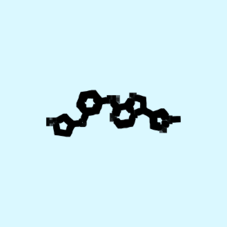 Cn1cc(C2CN=C3C(Nc4cccc(OC5CCNC5)c4)=NC=CN32)cn1